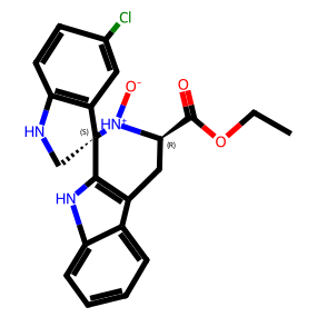 CCOC(=O)[C@H]1Cc2c([nH]c3ccccc23)[C@]2(CNc3ccc(Cl)cc32)[NH+]1[O-]